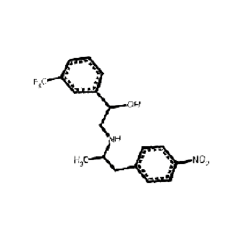 CC(Cc1ccc([N+](=O)[O-])cc1)NCC(O)c1cccc(C(F)(F)F)c1